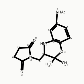 CC(=O)Nc1ccc2c(c1)NC(CN1C(=O)CCC1=O)C(C)(C)O2